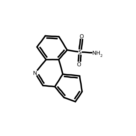 NS(=O)(=O)c1cccc2ncc3ccccc3c12